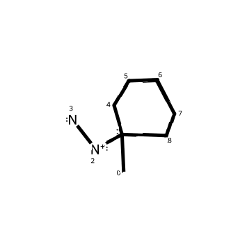 CC1([N+][N])CCCCC1